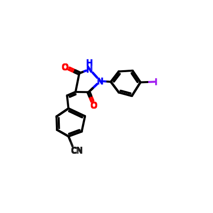 N#Cc1ccc(C=C2C(=O)NN(c3ccc(I)cc3)C2=O)cc1